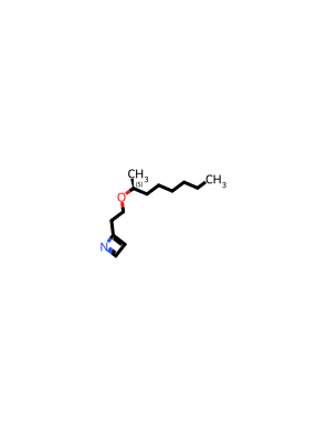 CCCCCC[C@H](C)OCCC1=CC=N1